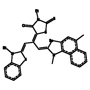 CCN1C(=O)C(=C(C=C2[Se]c3cc(C)c4ccccc4c3N2C)C=C2Sc3ccccc3N2CC)SC1=S